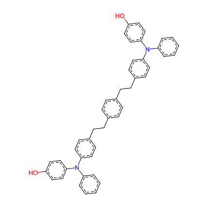 Oc1ccc(N(c2ccccc2)c2ccc(CCc3ccc(CCc4ccc(N(c5ccccc5)c5ccc(O)cc5)cc4)cc3)cc2)cc1